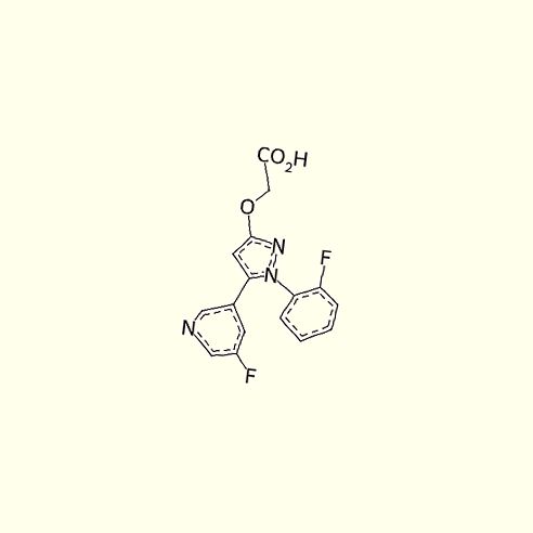 O=C(O)COc1cc(-c2cncc(F)c2)n(-c2ccccc2F)n1